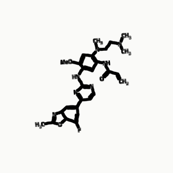 C=CC(=O)Nc1cc(Nc2nccc(C3=CC4N=C(C)OC4C(F)=C3)n2)c(OC)cc1N(C)CCN(C)C